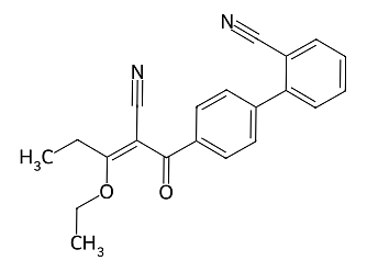 CCO/C(CC)=C(/C#N)C(=O)c1ccc(-c2ccccc2C#N)cc1